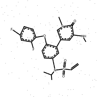 C=CS(=O)(=O)N(c1ccc(Oc2ccc(F)cc2F)c(-c2cc(NC)c(=O)n(C)c2)c1)C(C)C